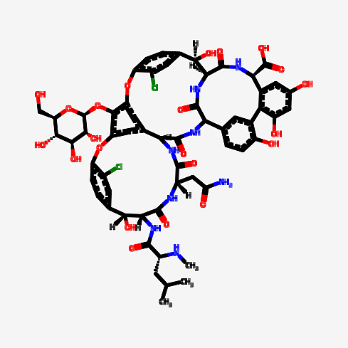 CN[C@H](CC(C)C)C(=O)N[C@H]1C(=O)N[C@@H](CC(N)=O)C(=O)N[C@H]2C(=O)NC3C(=O)N[C@H](C(=O)N[C@@H](C(=O)O)c4cc(O)cc(O)c4-c4cc3ccc4O)[C@H](O)c3ccc(c(Cl)c3)Oc3cc2cc(c3O[C@@H]2O[C@H](CO)[C@@H](O)[C@H](O)[C@H]2O)Oc2ccc(cc2Cl)[C@H]1O